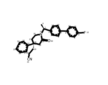 C[C@@H](c1ccc(-c2ccc(F)cc2)cc1)N1CC[C@](CCC#N)(c2ccccc2)CC1=O